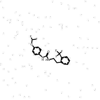 O=C(NCCc1ccccc1C(F)(F)F)Nc1ccc(OC(F)F)cc1